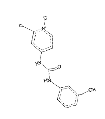 O=C(Nc1cccc(O)c1)Nc1cc[n+]([O-])c(Cl)c1